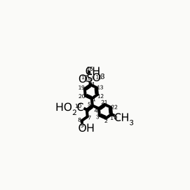 Cc1ccc(/C(=C(\CCO)C(=O)O)c2ccc(S(C)(=O)=O)cc2)cc1